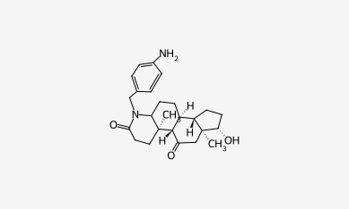 C[C@]12CC(=O)[C@H]3[C@@H](CCC4N(Cc5ccc(N)cc5)C(=O)CC[C@@]43C)[C@@H]1CC[C@@H]2O